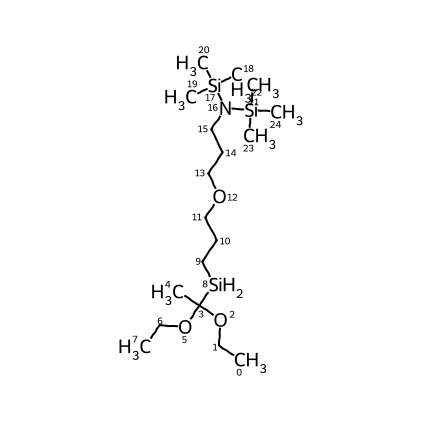 CCOC(C)(OCC)[SiH2]CCCOCCCN([Si](C)(C)C)[Si](C)(C)C